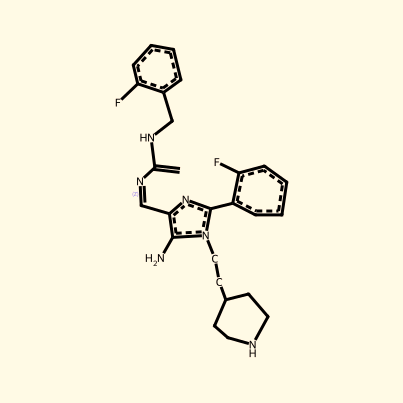 C=C(/N=C\c1nc(-c2ccccc2F)n(CCC2CCNCC2)c1N)NCc1ccccc1F